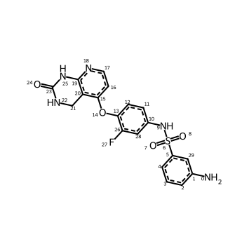 Nc1cccc(S(=O)(=O)Nc2ccc(Oc3ccnc4c3CNC(=O)N4)c(F)c2)c1